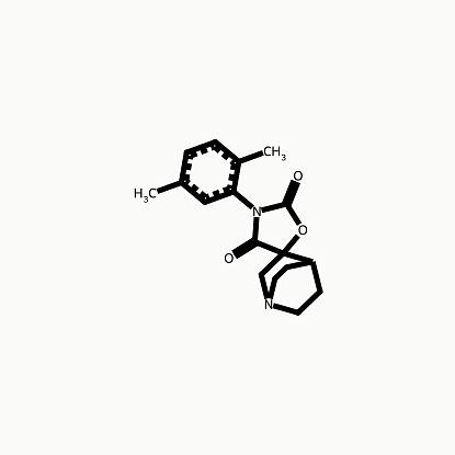 Cc1ccc(C)c(N2C(=O)OC3(CN4CCC3CC4)C2=O)c1